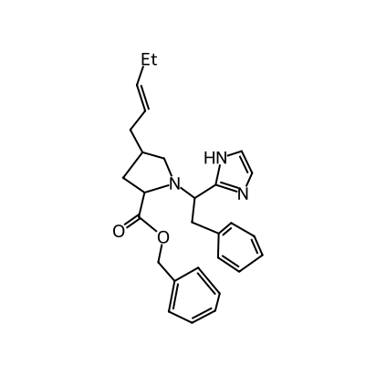 CCC=CCC1CC(C(=O)OCc2ccccc2)N(C(Cc2ccccc2)c2ncc[nH]2)C1